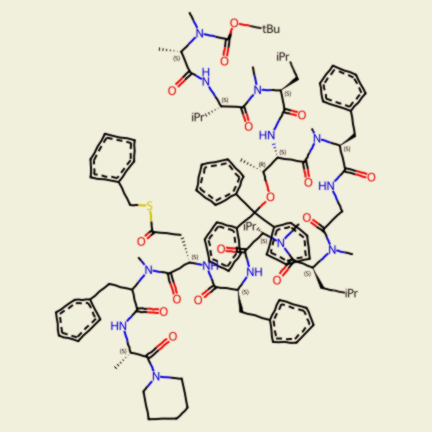 CC(C)C[C@@H](C(=O)N(C)[C@H](C(=O)N[C@@H](Cc1ccccc1)C(=O)N[C@@H](CC(=O)SCc1ccccc1)C(=O)N(C)C(Cc1ccccc1)C(=O)N[C@@H](C)C(=O)N1CCCCC1)C(C)C)N(C)C(=O)CNC(=O)[C@H](Cc1ccccc1)N(C)C(=O)[C@@H](NC(=O)[C@H](CC(C)C)N(C)C(=O)[C@@H](NC(=O)[C@H](C)N(C)C(=O)OC(C)(C)C)C(C)C)[C@@H](C)OC(c1ccccc1)(c1ccccc1)c1ccccc1